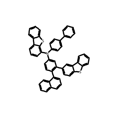 c1ccc(-c2ccc(N(c3ccc(-c4cccc5ccccc45)c(-c4ccc5sc6ccccc6c5c4)c3)c3cccc4c3sc3ccccc34)cc2)cc1